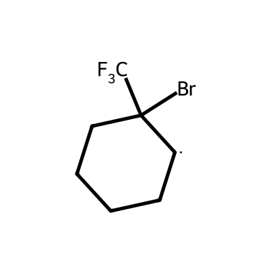 FC(F)(F)C1(Br)[CH]CCCC1